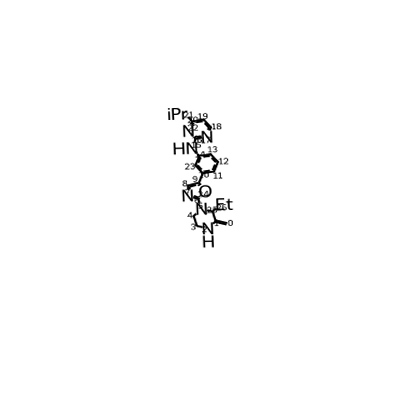 C=C1NCCN(c2ncc(-c3cccc(Nc4nccc(C(C)C)n4)c3)o2)C1CC